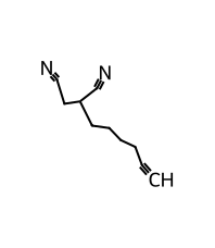 C#CCCCCC(C#N)CC#N